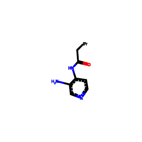 CC(C)CC(=O)Nc1ccncc1N